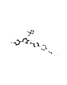 CCOc1ncc(-c2cc(N(C)CC3(COC)CCC3)c3[nH]c(-c4cnc(N5CCC(OCC(=O)OC)CC5)cn4)nc3n2)cc1C(F)(F)F